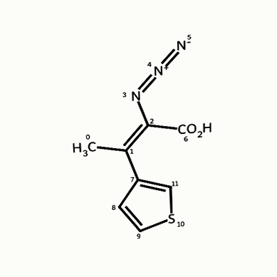 C/C(=C(\N=[N+]=[N-])C(=O)O)c1ccsc1